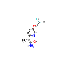 CC(C(N)=O)c1ccc(OCC(F)F)cn1